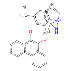 CCC12C=CC=C[N+]1(c1c(C(C)C)cc(C)cc1C(C)C)N2.[Ni].[O-]c1c([O-])c2ccccc2c2ccccc12